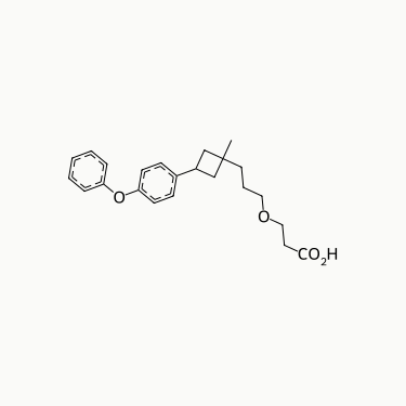 CC1(CCCOCCC(=O)O)CC(c2ccc(Oc3ccccc3)cc2)C1